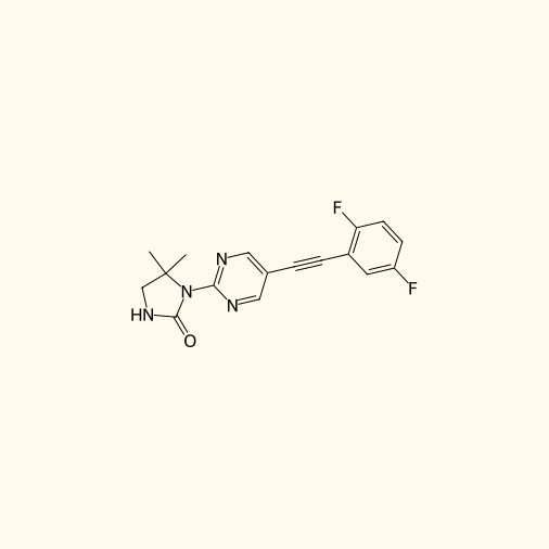 CC1(C)CNC(=O)N1c1ncc(C#Cc2cc(F)ccc2F)cn1